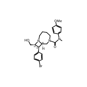 COc1ccc(N(C)C(=O)N2CCCCN3[C@H](CO)[C@H](c4ccc(Br)cc4)[C@@H]3C2)cc1